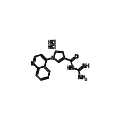 Cl.Cl.N=C(N)NC(=O)c1ccn(-c2ccnc3ccccc23)c1